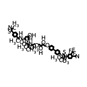 Cc1ncsc1-c1ccc([C@H](C)NC(=O)[C@@H]2C[C@@H](O)CN2C(=O)[C@@H](NC(=O)COC[C@@H](O)[C@H](O)COc2ccc(-c3ccc(N4C(=S)N(c5ccc(C#N)c(C(F)(F)F)c5)C(=O)C4(C)C)cc3)cc2)C(C)(C)C)cc1